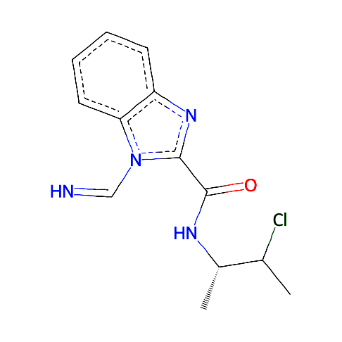 CC(Cl)[C@H](C)NC(=O)c1nc2ccccc2n1C=N